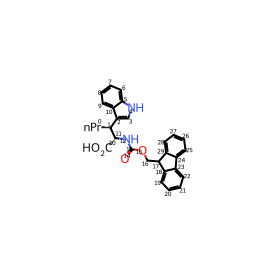 CCC[C@@H](c1c[nH]c2ccccc12)[C@H](NC(=O)OCC1c2ccccc2-c2ccccc21)C(=O)O